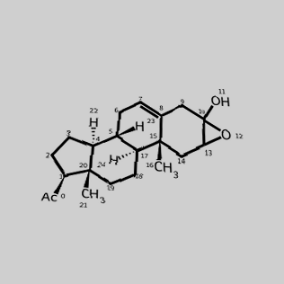 CC(=O)[C@H]1CC[C@H]2[C@@H]3CC=C4CC5(O)OC5C[C@]4(C)[C@H]3CC[C@]12C